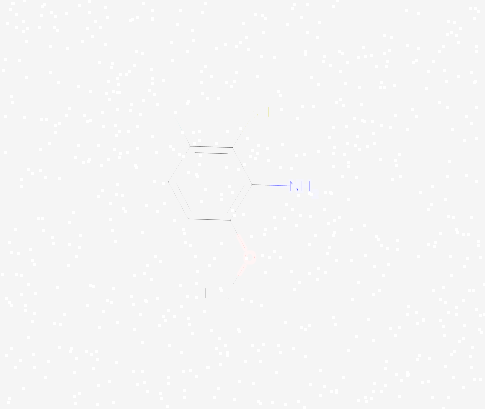 COc1ccc(F)c(S)c1N